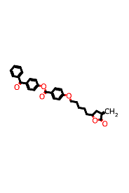 C=C1CC(CCCCCOc2ccc(C(=O)Oc3ccc(C(=O)c4ccccc4)cc3)cc2)OC1=O